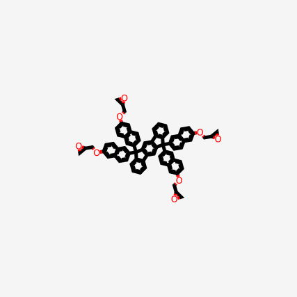 c1ccc2c(c1)-c1cc3c(cc1C2(c1ccc2cc(OCC4CO4)ccc2c1)c1ccc2cc(OCC4CO4)ccc2c1)-c1ccccc1C3(c1ccc2cc(OCC3CO3)ccc2c1)c1ccc2cc(OCC3CO3)ccc2c1